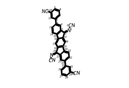 N#C/N=c1\c2cc(-c3cccc(C#N)c3)ccc2c2cc3/c(=N/C#N)c4cc(-c5cccc(C#N)c5)ccc4c3cc12